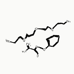 C=C(C)C(=O)OOc1ccccc1.OCCOCCOCCOCCO